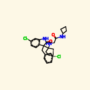 O=C(CNC1(C2(Cc3cccc(Cl)c3)C(=O)Nc3cc(Cl)ccc32)CCCC1)NC1CCC1